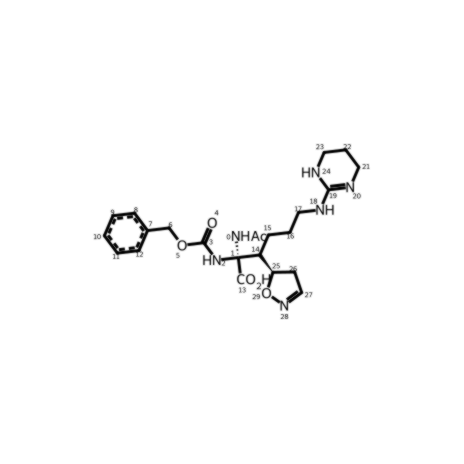 CC(=O)N[C@@](NC(=O)OCc1ccccc1)(C(=O)O)C(CCCNC1=NCCCN1)[C@H]1CC=NO1